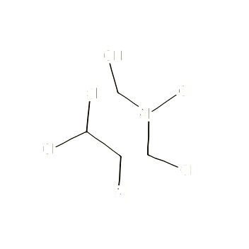 C[CH2][Al]([Cl])[CH2]C.[Al][CH2]C(Cl)Cl